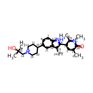 Cc1cc(-c2[nH]c3ccc(C4CCN(CC(C)(C)O)CC4)cc3c2C(C)C)c(C)n(C)c1=O